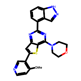 COc1ccncc1-c1cc2nc(-c3cccc4[nH]ncc34)nc(N3CCOCC3)c2s1